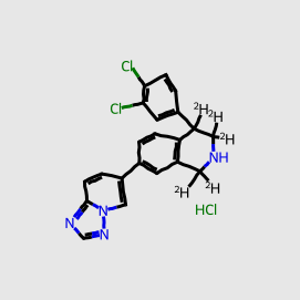 Cl.[2H]C1([2H])NC([2H])([2H])C([2H])(c2ccc(Cl)c(Cl)c2)c2ccc(-c3ccc4ncnn4c3)cc21